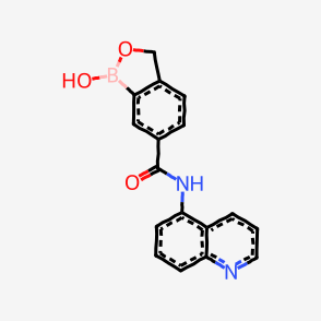 O=C(Nc1cccc2ncccc12)c1ccc2c(c1)B(O)OC2